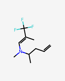 C=CCC(C)N(C)/C=C(\C)C(F)(F)F